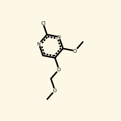 COCOc1cnc(Cl)nc1OC